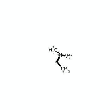 CC[N](C)[V+4]